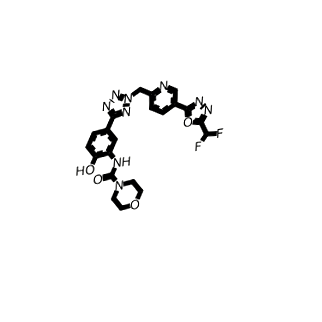 O=C(Nc1cc(-c2nnn(Cc3ccc(-c4nnc(C(F)F)o4)cn3)n2)ccc1O)N1CCOCC1